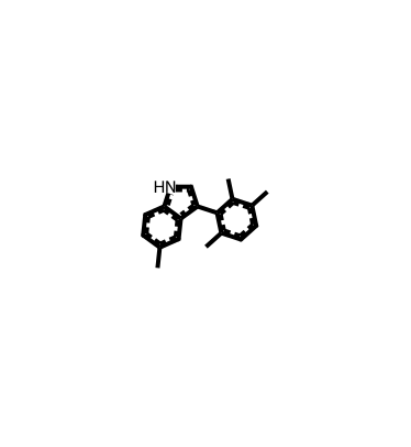 Cc1ccc2[nH]cc(-c3c(C)ccc(C)c3C)c2c1